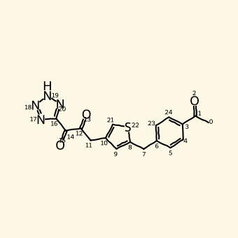 CC(=O)c1ccc(Cc2cc(CC(=O)C(=O)c3nn[nH]n3)cs2)cc1